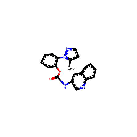 O=Cc1ccnn1-c1ccccc1OC(=O)Nc1cnc2ccccc2c1